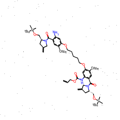 C=CCOC(=O)Nc1cc(OCCCCCOc2cc(N)c(C(=O)N3CC(=C)C[C@H]3CO[Si](C)(C)C(C)(C)C)cc2OC)c(OC)cc1C(=O)N1CC(=C)C[C@H]1CO[Si](C)(C)C(C)(C)C